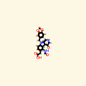 O=CNc1c(CC(=O)O)ccc2c1C1C(=O)C=NC=C1N2Cc1ccc2c(c1)OCO2